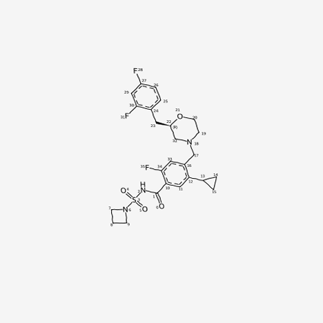 O=C(NS(=O)(=O)N1CCC1)c1cc(C2CC2)c(CN2CCO[C@H](Cc3ccc(F)cc3F)C2)cc1F